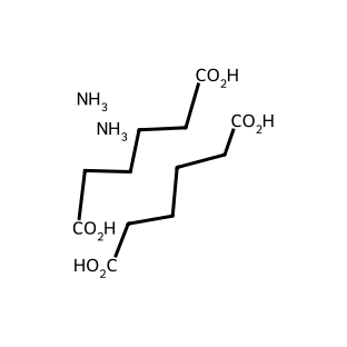 N.N.O=C(O)CCCCC(=O)O.O=C(O)CCCCC(=O)O